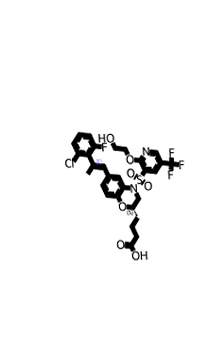 C/C(=C\c1ccc2c(c1)N(S(=O)(=O)c1cc(C(F)(F)F)cnc1OCCO)C[C@H](CCCC(=O)O)O2)c1c(F)cccc1Cl